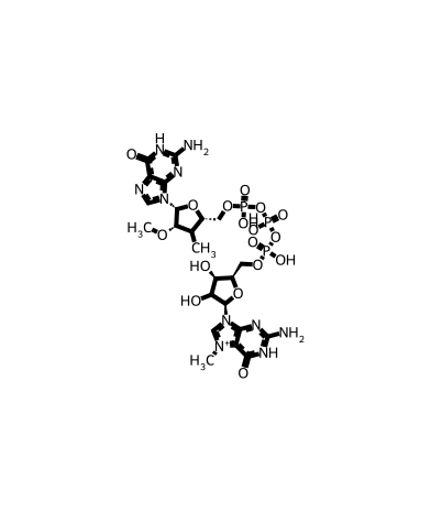 CO[C@H]1C(C)[C@@H](COP(=O)(O)OP(=O)(O)OP(=O)(O)OC[C@H]2O[C@@H](n3c[n+](C)c4c(=O)[nH]c(N)nc43)C(O)[C@H]2O)O[C@H]1n1cnc2c(=O)[nH]c(N)nc21